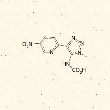 Cn1nnc(-c2ccc([N+](=O)[O-])cn2)c1NC(=O)O